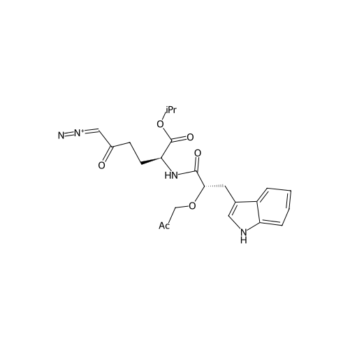 CC(=O)CO[C@@H](Cc1c[nH]c2ccccc12)C(=O)N[C@@H](CCC(=O)C=[N+]=[N-])C(=O)OC(C)C